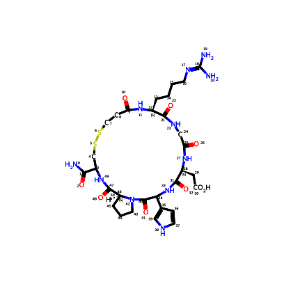 NC(=O)C1CSSCCC(=O)N[C@@H](CCCCN=C(N)N)C(=O)NCC(=O)N[C@@H](CC(=O)O)C(=O)NC(c2cc[nH]c2)C(=O)N2CCC[C@H]2C(=O)N1